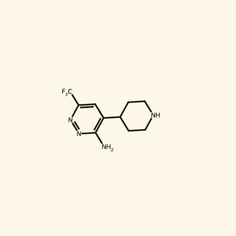 Nc1nnc(C(F)(F)F)cc1C1CCNCC1